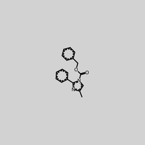 Cc1cn(C(=O)OCc2ccccc2)c(-c2ccccc2)n1